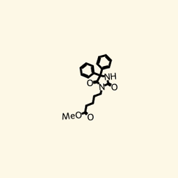 COC(=O)CCCCN1C(=O)NC(c2ccccc2)(c2ccccc2)C1=O